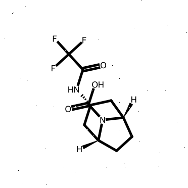 O=C(O)N1[C@@H]2CC[C@H]1C[C@@H](NC(=O)C(F)(F)F)C2